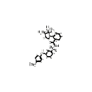 CCOc1ccc(Nc2cccc(S(=O)(=O)NC(=O)c3cccnc3N3CCC(C)C3(C)C)n2)cc1